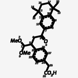 COC(OC)C(CC(=O)c1ccc2c(c1)C(C)(C)CCC2(C)C)c1ccc(CC(=O)O)cc1